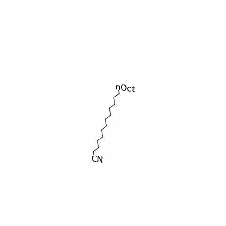 [CH2]CCCCCCCCCCCCCCCCCCCC#N